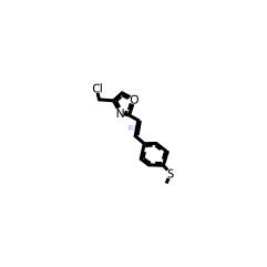 CSc1ccc(/C=C/c2nc(CCl)co2)cc1